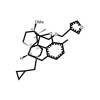 CO[C@]12CC[C@@]3(C[C@]1(C)COCc1ccoc1)[C@H]1Cc4ccc(C)c5c4[C@@]3(CCN1CC1CC1)C2O5